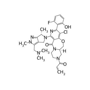 C=CC(=O)N1CCN2C(=O)c3c(N4Cc5c(nn(C)c5CN(C)C)[C@@H]4C)nc(-c4c(O)cccc4F)c(Cl)c3OC[C@H]2C1